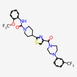 O=C(Nc1ccccc1OC(F)(F)F)N1CCC(c2nc(C(=O)N3CCN(c4cccc(C(F)(F)F)c4)CC3)cs2)CC1